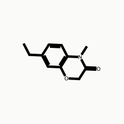 CCc1[c]cc2c(c1)OCC(=O)N2C